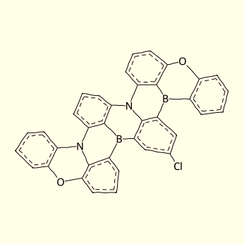 Clc1cc2c3c(c1)B1c4cccc5c4N(c4ccccc4O5)c4cccc(c41)N3c1cccc3c1B2c1ccccc1O3